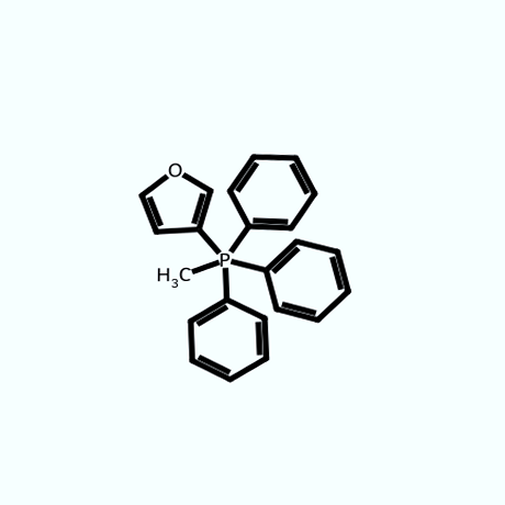 CP(c1ccccc1)(c1ccccc1)(c1ccccc1)c1ccoc1